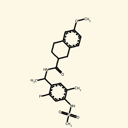 COc1ccc2c(c1)CCC(C(=O)NC(C)c1cc(C)c(NS(C)(=O)=O)cc1F)C2